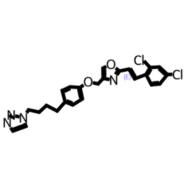 Clc1ccc(/C=C/c2nc(COc3ccc(CCCCn4ccnn4)cc3)co2)c(Cl)c1